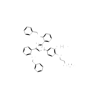 COCCOc1ccc(-n2cc(-c3ccccc3OCc3ccccc3)nc2-c2ccccc2OCc2ccccc2)cc1C=O